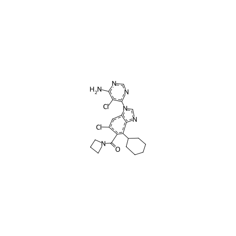 Nc1ncnc(-n2cnc3c(C4CCCCC4)c(C(=O)N4CCC4)c(Cl)cc32)c1Cl